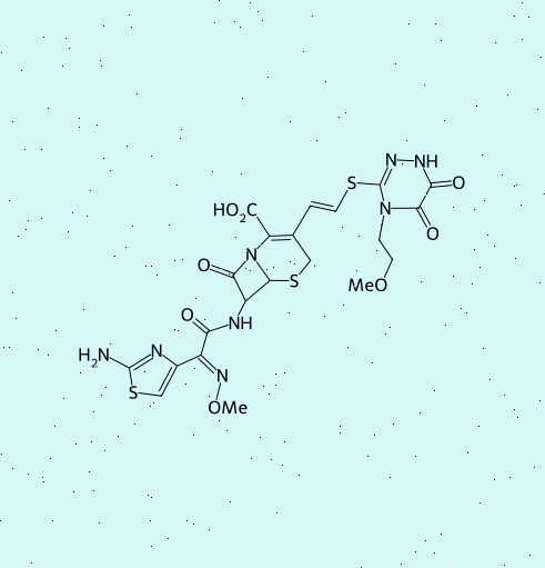 COCCn1c(SC=CC2=C(C(=O)O)N3C(=O)C(NC(=O)C(=NOC)c4csc(N)n4)C3SC2)n[nH]c(=O)c1=O